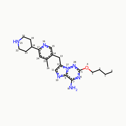 CCCCOc1nc(N)c2ncc(Cc3cnc(C4CCNCC4)cc3C)n2n1